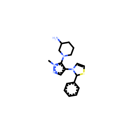 Cn1ncc(N2C=CSC2c2ccccc2)c1N1CCCC(N)C1